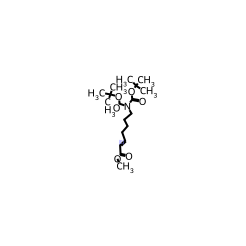 COC(=O)/C=C/CCCCN(C(=O)OC(C)(C)C)C(=O)OC(C)(C)C